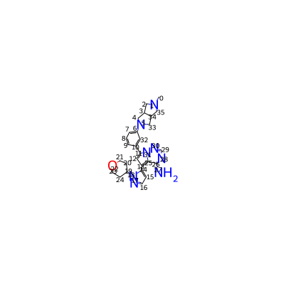 CN1CC2CN(c3cccc(-c4cc(-c5ccnn5C5CCOCC5)c5c(N)ncnn45)c3)CC2C1